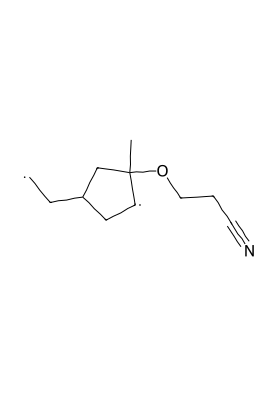 [CH2]CC1C[CH]C(C)(OCCC#N)C1